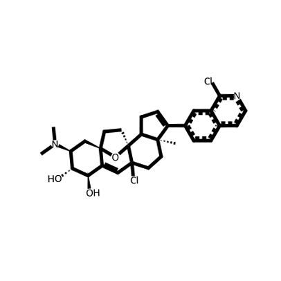 CN(C)[C@H]1C[C@@]23CC[C@]4(O2)C2CC=C(c5ccc6ccnc(Cl)c6c5)[C@@]2(C)CCC4(Cl)C=C3[C@@H](O)[C@@H]1O